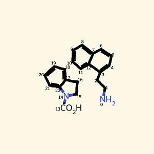 NCCc1cccc2ccccc12.O=C(O)N1CCc2ccccc21